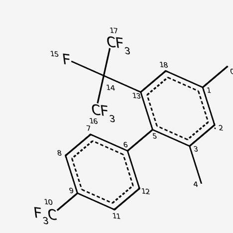 Cc1[c]c(C)c(-c2ccc(C(F)(F)F)cc2)c(C(F)(C(F)(F)F)C(F)(F)F)c1